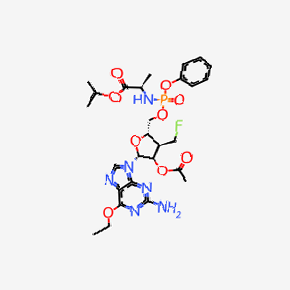 CCOc1nc(N)nc2c1ncn2[C@@H]1O[C@H](CO[P@](=O)(N[C@H](C)C(=O)OC(C)C)Oc2ccccc2)[C@@H](CF)[C@H]1OC(C)=O